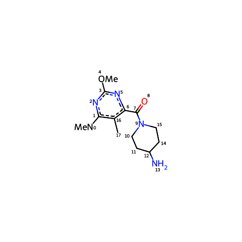 CNc1nc(OC)nc(C(=O)N2CCC(N)CC2)c1C